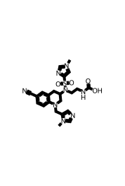 Cn1cnc(S(=O)(=O)N(CCNC(=O)O)C2Cc3cc(C#N)ccc3N(Cc3cncn3C)C2)c1